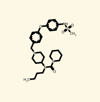 CCCCN(C(=O)N1CCCCC1)C1CCN(Cc2ccc(Oc3ccc(NS(C)(=O)=O)cc3)cc2)CC1